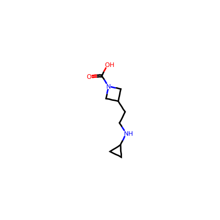 O=C(O)N1CC(CCNC2CC2)C1